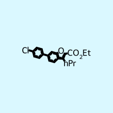 CCCc1c(C(=O)OCC)oc2cc(-c3ccc(Cl)cc3)ccc12